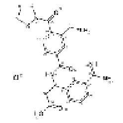 CCc1cc(C(=O)NC(CC(=O)O)c2cccc(C(=N)N)c2)ccc1C(=O)N1CCCC1.Cl